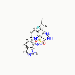 CC1CC(F)(c2cccnc2C2(S(=O)(=O)Nc3cccc4cnn(C)c34)C=NNC2)C1